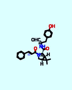 CC1(C)[C@@H]2[C@@H](C(=O)N[C@H](C=O)Cc3ccc(O)cc3)N(C(=O)/C=C/c3ccccc3)C[C@@H]21